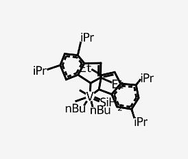 CCC[CH2][V]([CH3])([CH3])(=[SiH2])([CH2]CCC)([CH]1C(CC)=Cc2c(C(C)C)cc(C(C)C)cc21)[CH]1C(CC)=Cc2c(C(C)C)cc(C(C)C)cc21